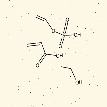 C=CC(=O)O.C=COS(=O)(=O)O.CCO